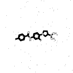 CN(C)C1CCN(c2ccc(NC(=O)c3ccc(I)cc3)cc2F)C1